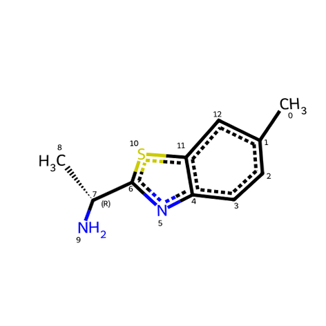 Cc1ccc2nc([C@@H](C)N)sc2c1